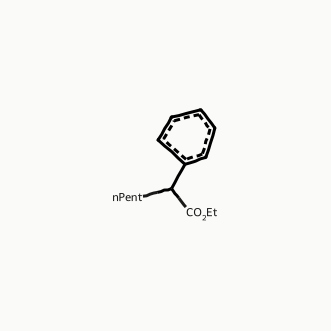 CCCCCC(C(=O)OCC)c1ccccc1